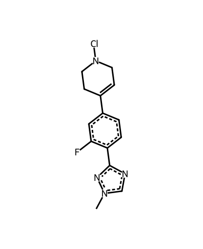 Cn1cnc(-c2ccc(C3=CCN(Cl)CC3)cc2F)n1